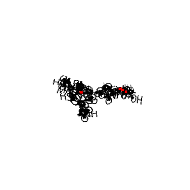 COCCOC1[C@@H](OP(=O)(O)OC[C@H]2O[C@@H](n3cc(C)c(=O)[nH]c3=O)C[C@H]2OP(=O)(S)OC[C@H]2O[C@@H](n3cc(C)c(=O)[nH]c3=O)C[C@H]2OP(=O)(S)OC)[C@@H](COP(=O)(O)O[C@H]2C[C@H](C)OC2[C@@H](OCCOP(=O)(S)O[C@@H]2C3O[C@@H](C)[C@]2(CO)O[C@H]3n2cc(C)c(N)nc2=O)n2cc(C)c(=O)[nH]c2=O)O[C@H]1n1cc(C)c(=O)[nH]c1=O